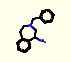 NC1CN(Cc2ccccc2)CCc2ccccc21